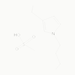 CCCCn1ccc(CC)c1.CS(=O)(=O)O